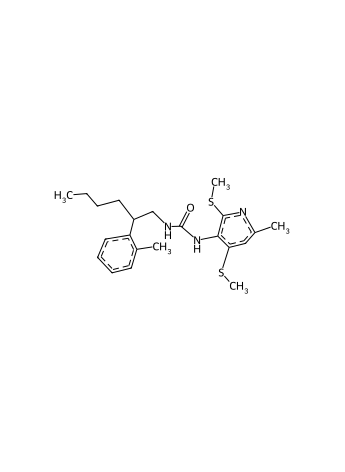 CCCCC(CNC(=O)Nc1c(SC)cc(C)nc1SC)c1ccccc1C